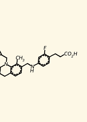 Cc1c(CNc2ccc(CCC(=O)O)c(F)c2)ccc2c1N(CC1CC1)CCC2